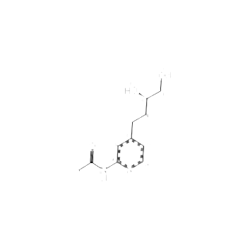 CC(=O)Nc1cc(CC[C@@H](O)CO)ccn1